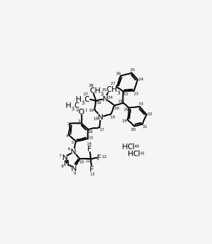 COc1ccc(-n2nnnc2C(F)(F)F)cc1CN1CC(C(c2ccccc2)c2ccccc2)N(C)C(C)(C)C1.Cl.Cl